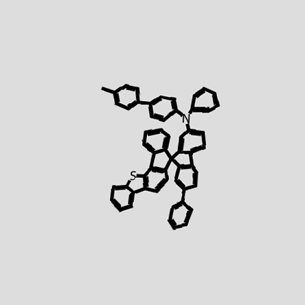 Cc1ccc(-c2ccc(N(c3ccccc3)c3ccc4c(c3)C3(c5cc(-c6ccccc6)ccc5-4)c4ccccc4-c4c3ccc3c4sc4ccccc43)cc2)cc1